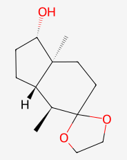 C[C@H]1[C@@H]2CC[C@H](O)[C@@]2(C)CCC12OCCO2